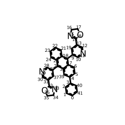 c1ccc(-c2ccc3c(-c4cncc(C5=NCCO5)c4)c4ccccc4c(-c4cncc(C5=NCCO5)c4)c3c2)cc1